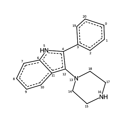 c1ccc(-c2[nH]c3ccccc3c2N2CCNCC2)cc1